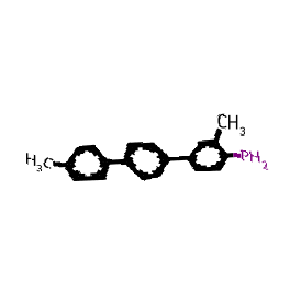 Cc1ccc(-c2ccc(-c3ccc(P)c(C)c3)cc2)cc1